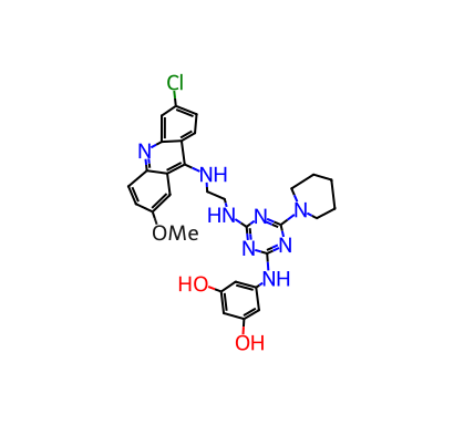 COc1ccc2nc3cc(Cl)ccc3c(NCCNc3nc(Nc4cc(O)cc(O)c4)nc(N4CCCCC4)n3)c2c1